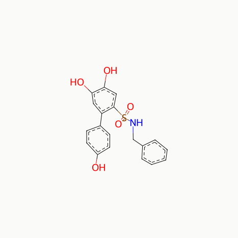 O=S(=O)(NCc1ccccc1)c1cc(O)c(O)cc1-c1ccc(O)cc1